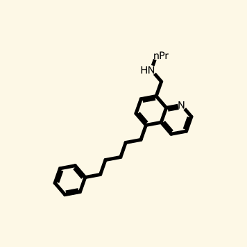 [CH2]CCNCc1ccc(CCCCCc2ccccc2)c2cccnc12